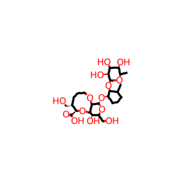 CC1CCC[C@@H](O[C@@H]2OC(CO)[C@H](O)C3O[C@@H](C(=O)O)[C@H](CO)CCCOC32)C1O[C@@H]1OC(C)[C@@H](O)C(O)[C@@H]1O